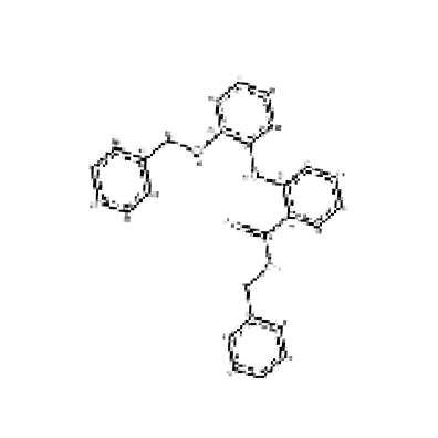 O=C(OCc1ccccc1)c1ccccc1Oc1ccccc1OCc1ccccc1